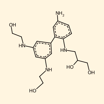 Nc1ccc(NCC(O)CO)c(-c2cc(NCCO)cc(NCCO)c2)c1